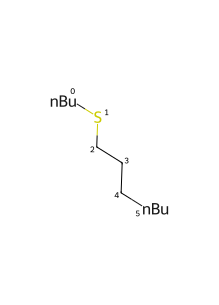 [CH2]CCCSCCCCCCC